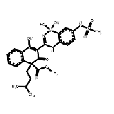 COC(=O)C1(CCC(C)C)C(=O)C(C2=NS(O)(O)c3cc(NS(C)(=O)=O)ccc3N2)=C(O)c2ccccc21